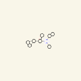 c1ccc(-c2nc(-c3ccc4ccccc4c3)nc(-c3ccc(-c4ccc5c(c4)-c4cccc6cccc-5c46)c4oc5ccccc5c34)n2)cc1